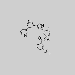 Cc1ccc(NC(=O)c2cccc(C(F)(F)F)c2)cc1-n1cc(-c2cncc(-c3cccnc3)c2)cn1